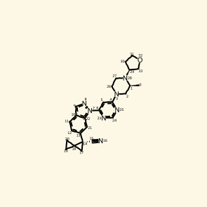 C[C@H]1CN(c2cc(-n3ncc4ccc([C@@]5(C#N)CC56CC6)cc43)ncn2)CCN1[C@H]1CCOC1